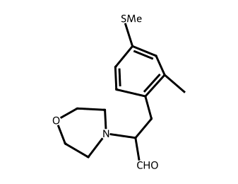 CSc1ccc(CC(C=O)N2CCOCC2)c(C)c1